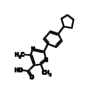 Cc1nc(-c2ccc(C3CCCC3)cc2)nc(C)c1C(=O)O